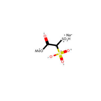 COC(=O)C(S(=O)(=O)[O-])S(=O)(=O)O.[Na+]